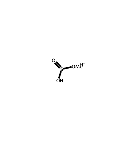 COS(=O)O.[H+]